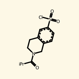 CC(C)C(=O)N1CCc2cc(S(=O)(=O)Cl)ccc2C1